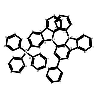 c1ccc(-c2cc(-n3c4ccccc4c4ccc([Si](c5ccccc5)(c5ccccc5)c5ccccc5)cc43)c3c(c2)c2ccccc2n3-c2ccccc2)cc1